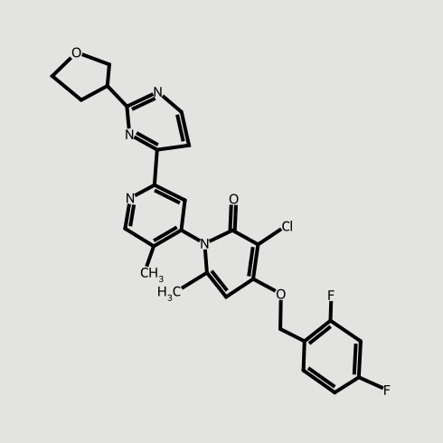 Cc1cnc(-c2ccnc(C3CCOC3)n2)cc1-n1c(C)cc(OCc2ccc(F)cc2F)c(Cl)c1=O